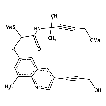 COCC#CC(C)(C)NC(=O)C(Oc1cc(C)c2ncc(C#CCO)cc2c1)SC